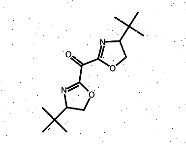 CC(C)(C)C1COC(C(=O)C2=NC(C(C)(C)C)CO2)=N1